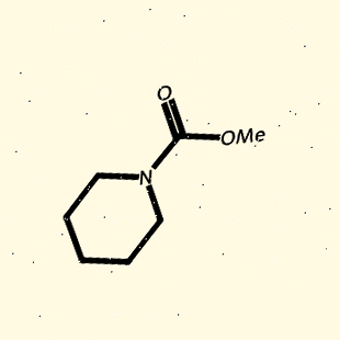 [CH2]OC(=O)N1CCCCC1